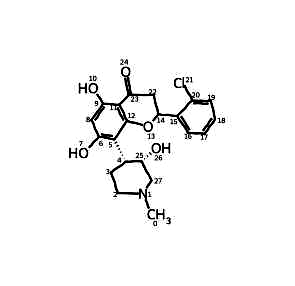 CN1CC[C@H](c2c(O)cc(O)c3c2OC(c2ccccc2Cl)CC3=O)[C@H](O)C1